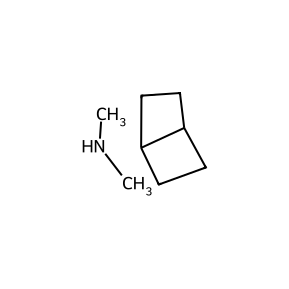 C1CC2CCC12.CNC